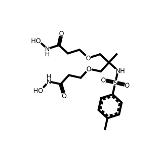 Cc1ccc(S(=O)(=O)NC(C)(COCCC(=O)NO)COCCC(=O)NO)cc1